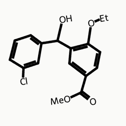 CCOc1ccc(C(=O)OC)cc1C(O)c1cccc(Cl)c1